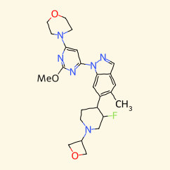 COc1nc(N2CCOCC2)cc(-n2ncc3cc(C)c(C4CCN(C5COC5)CC4F)cc32)n1